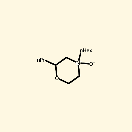 CCCCCC[N+]1([O-])CCOC(CCC)C1